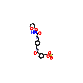 CS(=O)(=O)OCc1cccc(C(=O)/C=C/c2ccc(/C=C/C(=O)NOC3CCCCO3)cc2)c1